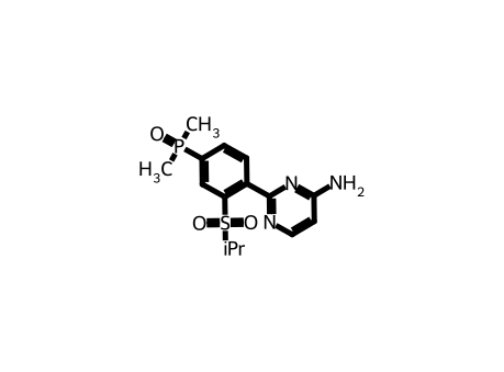 CC(C)S(=O)(=O)c1cc(P(C)(C)=O)ccc1-c1nccc(N)n1